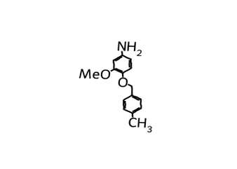 COc1cc(N)ccc1OCc1ccc(C)cc1